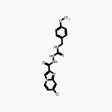 O=C(NNC(=S)NCc1ccc(OC(F)(F)F)cc1)c1cn2ccc(Cl)cc2n1